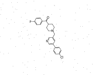 O=C(c1ccc(F)cc1)C1CCN(Cc2cncc(-c3ccc(Cl)cc3)c2)CC1